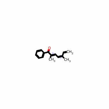 C=C/C(C)=C\C=C(/C)C(=O)c1ccccc1